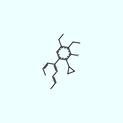 C\C=C/C(=C\C=C\C)c1cc(CC)c(CC)c(F)c1C1CC1